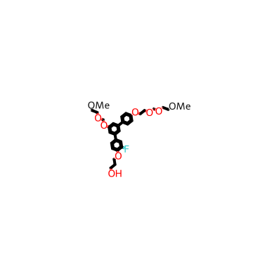 COCCOCOCCOc1ccc(-c2cc(OCOCCOC)cc(-c3ccc(OCCCO)c(F)c3)c2)cc1